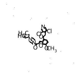 CCC(CO)N1CCN(C(=O)c2cc3c(C(=O)Cc4c(Cl)cncc4Cl)ccc(OC)c3o2)CC1